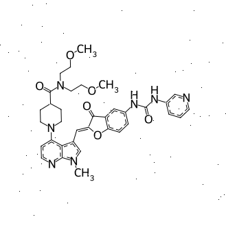 COCCN(CCOC)C(=O)C1CCN(c2ccnc3c2c(C=C2Oc4ccc(NC(=O)Nc5cccnc5)cc4C2=O)cn3C)CC1